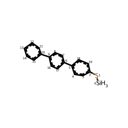 [SiH3]Sc1ccc(-c2ccc(-c3ccccc3)cc2)cc1